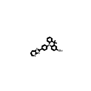 CC(C)(C)c1ccc2c(c1)C(C)(C)c1ccccc1N2c1ccc(-c2nc3cccnc3s2)cc1